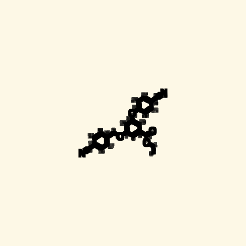 CCOC(=O)c1cc(OCc2ccc(C#N)cc2)cc(Oc2ccc(C#N)cc2)c1